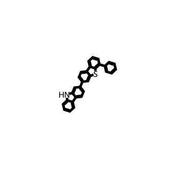 c1ccc(-c2cccc3c2sc2cc(-c4ccc5c(c4)[nH]c4ccccc45)ccc23)cc1